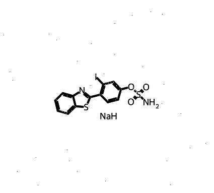 NS(=O)(=O)Oc1ccc(-c2nc3ccccc3s2)c(I)c1.[NaH]